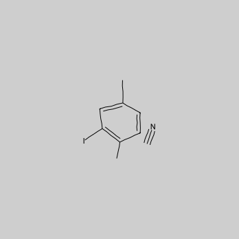 C#N.Cc1ccc(C)c(I)c1